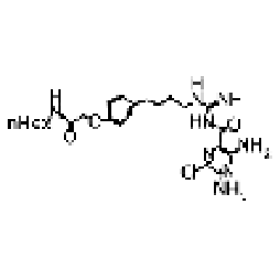 CCCCCCNC(=O)COc1ccc(CCCCNC(=N)NC(=O)c2nc(Cl)c(N)nc2N)cc1